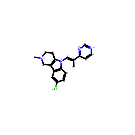 CC(=Cn1c2c(c3cc(Cl)ccc31)CN(C)CC2)c1ccncn1